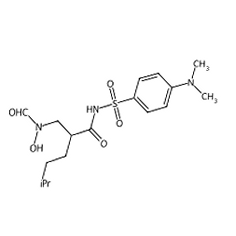 CC(C)CCC(CN(O)C=O)C(=O)NS(=O)(=O)c1ccc(N(C)C)cc1